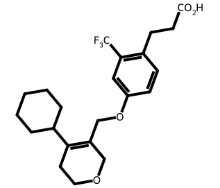 O=C(O)CCc1ccc(OCC2=C(C3CCCCC3)CCOC2)cc1C(F)(F)F